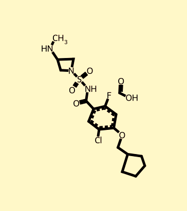 CNC1CN(S(=O)(=O)NC(=O)c2cc(Cl)c(OCC3CCCC3)cc2F)C1.O=CO